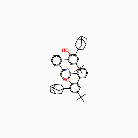 CC(C)(C)c1cc(-c2ccccc2-c2cccc(-c3ccccc3-c3cc(C(C)(C)C)cc(C45CC6CC(C4)C(C6)C5)c3O)n2)c(O)c(C23CC4CC(C2)C(C4)C3)c1